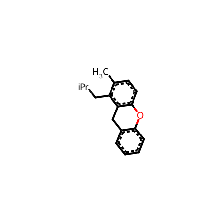 Cc1ccc2c(c1CC(C)C)Cc1ccccc1O2